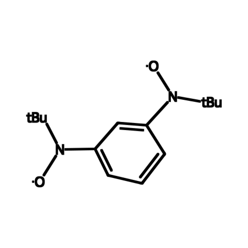 CC(C)(C)N([O])c1cccc(N([O])C(C)(C)C)c1